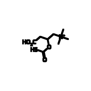 C[N+](C)(C)CC(CC(=O)O)OC(=O)S